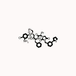 CC(C)CN(C[C@H](O)[C@H](Cc1ccccc1)NC(=O)[C@H](C(C)C)N1CC(=O)N(Cc2cccc(-c3cccs3)c2)C1=O)S(=O)(=O)c1ccc(Cl)c(N)c1